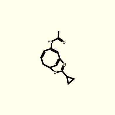 CC(=O)N/C1=C/C2=CC(CC=C1)OC(C1CC1)=N2